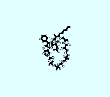 CCCCCCC(OCC(C)NC(=O)C(N)COCC(F)(F)CNC(=O)OC(C)(C)C)C(C)C(=O)N(C)C(CC(C)C)C(=O)NC(C(=O)NC(CNC(=O)OC(C)(C)C)C(=O)O)C1CCCCC1